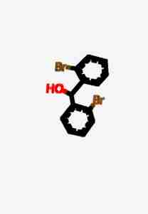 OC(c1ccccc1Br)c1ccccc1Br